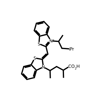 CC(C)CC(C)[n+]1c(C=C2Sc3ccccc3N2C(C)CC(C)C(=O)O)sc2ccccc21